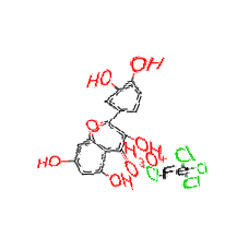 O=c1c(O)c(-c2ccc(O)c(O)c2)oc2cc(O)cc(O)c12.[Cl][Fe]([Cl])([Cl])[Cl].[OH3+]